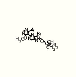 COc1ncnc(C2CC2)c1-c1ncc2nn(COCC[Si](C)(C)C)c(Br)c2n1